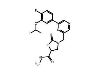 CNC(=O)C1CN(Cc2cncc(-c3ccc(F)c(OC(F)F)c3)n2)C(=O)O1